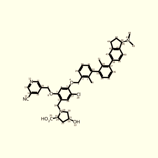 Cc1c(COc2cc(OCc3cncc(C#N)c3)c(CN3C[C@@H](O)C[C@H]3C(=O)O)cc2Cl)cccc1-c1cccc(-c2ccc3c(c2)CC[C@H]3N(C)C)c1C